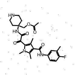 CC(=O)OCC1(NC(=O)C(=O)c2c(C)c(C(=O)Nc3ccc(F)c(C)c3)c(C)n2C)CCNCC1